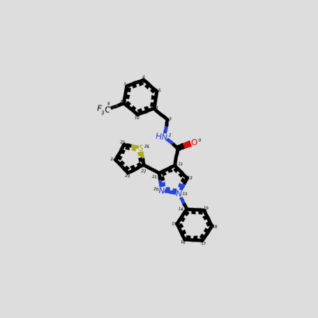 O=C(NCc1cccc(C(F)(F)F)c1)c1cn(-c2ccccc2)nc1-c1cccs1